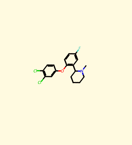 CN1CCCCC1c1cc(F)ccc1Oc1ccc(Cl)c(Cl)c1